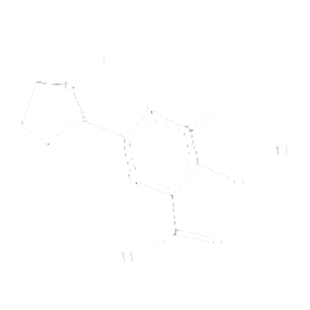 COc1c(C(=O)O)nc(C2CCCN2C)[nH]c1=O